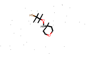 CC1(BOC(C)(C)C(C)(C)S)CCOCC1